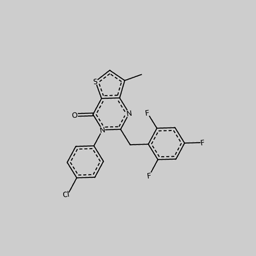 Cc1csc2c(=O)n(-c3ccc(Cl)cc3)c(Cc3c(F)cc(F)cc3F)nc12